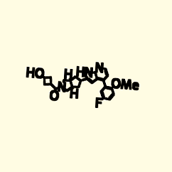 COc1ccc(F)cc1-c1ccnc2[nH]c([C@H]3C[C@@H]4CN(C(=O)C5CC(O)C5)C[C@@H]4C3)cc12